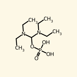 CCN(CC)C(OP(=O)(O)O)N(CC)CC